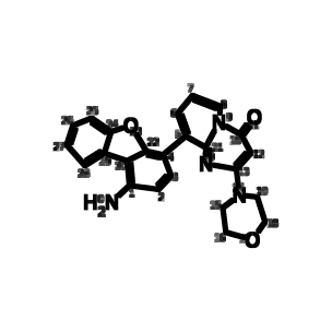 Nc1ccc(-c2cccn3c(=O)cc(N4CCOCC4)nc23)c2oc3ccccc3c12